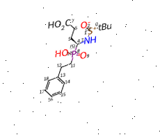 CC(C)(C)[S@@+]([O-])N[C@H](CCC(=O)O)P(=O)(O)CCc1ccccc1